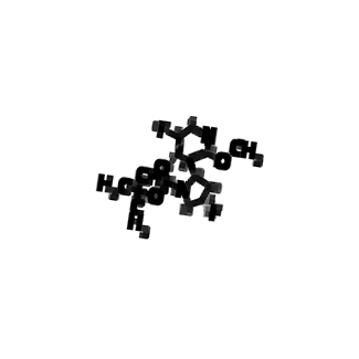 COc1ncc(F)cc1[C@H]1C[C@H](F)CN1C(=O)OC(C)(C)C